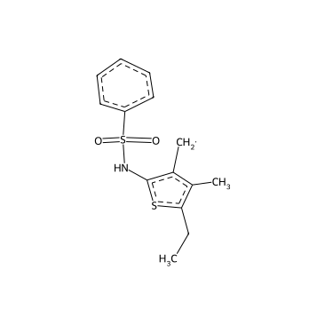 [CH2]c1c(NS(=O)(=O)c2ccccc2)sc(CC)c1C